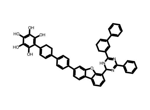 Oc1c(O)c(O)c(C2=CC=C(c3ccc(-c4ccc5c(c4)oc4c(C6N=C(c7ccccc7)N=C(C7=CC(c8ccccc8)=CCC7)N6)cccc45)cc3)CC2)c(O)c1O